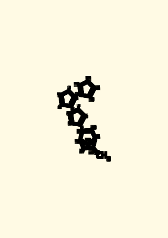 C1=CCC=C1.C1=CCC=C1.C1=CCC=C1.CC1CC2C=CC1C2